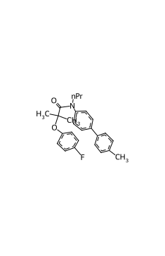 CCCN(C(=O)C(C)(C)Oc1ccc(F)cc1)c1ccc(-c2ccc(C)cc2)cc1